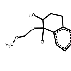 COCOC1(Cl)c2ccccc2CCC1O